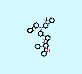 CC1(C)c2ccccc2-c2ccc(N(c3cccc(-c4cccc5c4oc4c(-c6ccccc6)c6c(cc45)oc4ccccc46)c3)c3cccc4c3sc3ccccc34)cc21